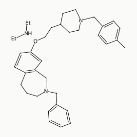 CCNCC.Cc1ccc(CN2CCC(CCOc3ccc4c(c3)CN(Cc3ccccc3)CCC4)CC2)cc1